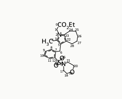 CCOC(=O)Cn1c(C)c(Cc2ccccc2S(=O)(=O)N2CCOCC2)c2c1CCCCC2